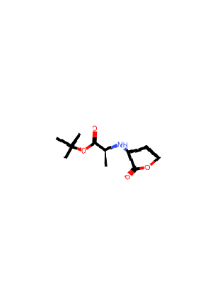 C[C@H](NC1CCOC1=O)C(=O)OC(C)(C)C